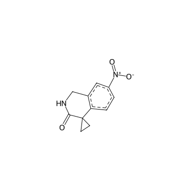 O=C1NCc2cc([N+](=O)[O-])ccc2C12CC2